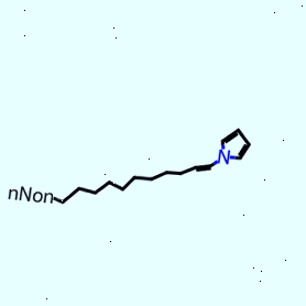 CCCCCCCCCCCCCCCCCCC=Cn1cccc1